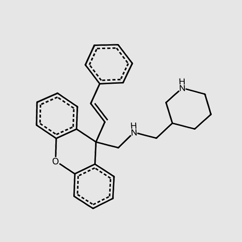 C(=CC1(CNCC2CCCNC2)c2ccccc2Oc2ccccc21)c1ccccc1